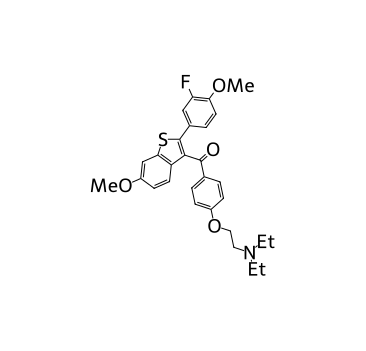 CCN(CC)CCOc1ccc(C(=O)c2c(-c3ccc(OC)c(F)c3)sc3cc(OC)ccc23)cc1